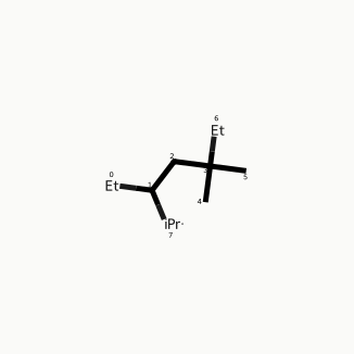 CCC(CC(C)(C)CC)[C](C)C